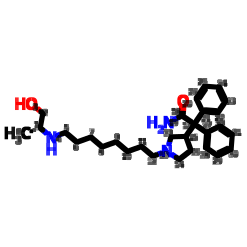 C[C@H](CO)NCCCCCCCCN1CCC(C(C(N)=O)(c2ccccc2)c2ccccc2)C1